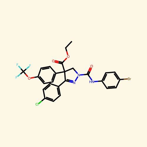 CCOC(=O)C1(c2ccc(OC(F)(F)F)cc2)CN(C(=O)Nc2ccc(Br)cc2)N=C1c1ccc(Cl)cc1